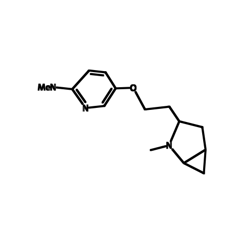 CNc1ccc(OCCC2CC3CC3N2C)cn1